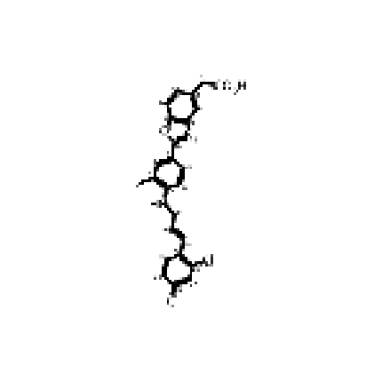 Cc1cc(-c2nc3cc(CC(=O)O)ccc3o2)ccc1NCC=Cc1ccc(Cl)cc1Cl